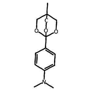 CN(C)c1ccc(C23OCC(C)(CO2)CO3)cc1